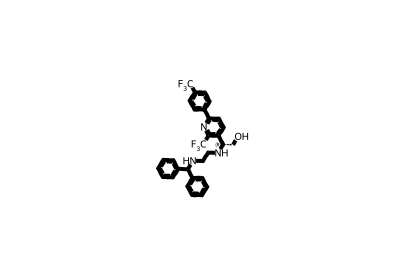 OC[C@H](NCCNC(c1ccccc1)c1ccccc1)c1ccc(-c2ccc(C(F)(F)F)cc2)nc1C(F)(F)F